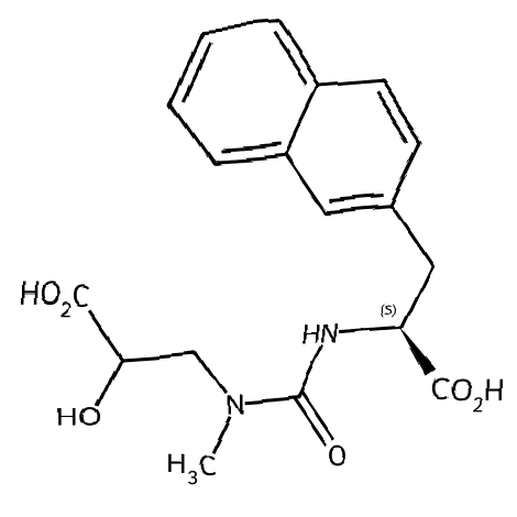 CN(CC(O)C(=O)O)C(=O)N[C@@H](Cc1ccc2ccccc2c1)C(=O)O